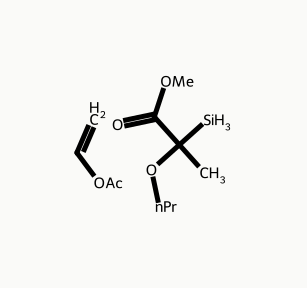 C=COC(C)=O.CCCOC(C)([SiH3])C(=O)OC